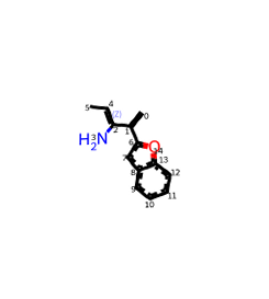 C=C(/C(N)=C/C)c1cc2ccccc2o1